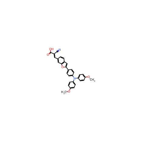 COc1ccc(N(c2ccc(OC)cc2)c2ccc(-c3cc4ccc(/C=C(\C#N)C(=O)O)cc4o3)cc2)cc1